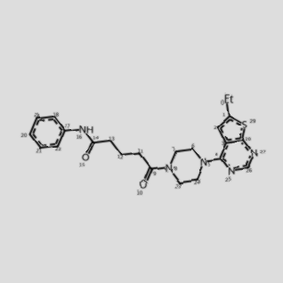 CCc1cc2c(N3CCN(C(=O)CCCC(=O)Nc4ccccc4)CC3)ncnc2s1